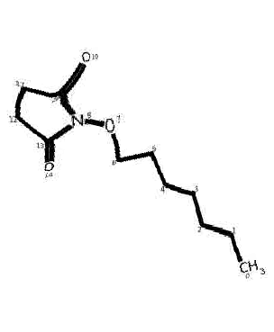 CCCCCCCON1C(=O)CCC1=O